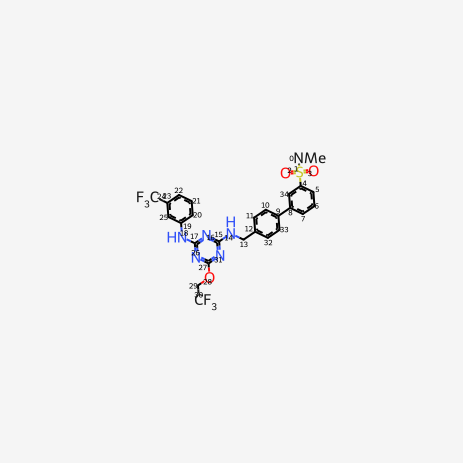 CNS(=O)(=O)c1cccc(-c2ccc(CNc3nc(Nc4cccc(C(F)(F)F)c4)nc(OCC(F)(F)F)n3)cc2)c1